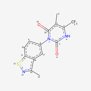 Cc1c(C(F)(F)F)[nH]c(=O)n(-c2ccc3snc(C)c3c2)c1=O